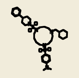 CN(C)c1ccc(S(=O)(=O)N2CCCCN(S(=O)(=O)N3CCC(c4ccccc4)CC3)CCCN(CC3CCCCC3)CCC2)cc1